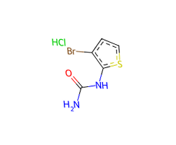 Cl.NC(=O)Nc1sccc1Br